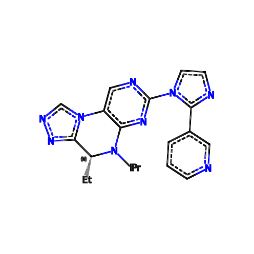 CC[C@@H]1c2nncn2-c2cnc(-n3ccnc3-c3cccnc3)nc2N1C(C)C